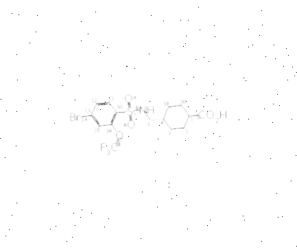 O=C(O)[C@H]1CC[C@H](CNS(=O)(=O)c2ccc(Br)cc2OC(F)(F)F)CC1